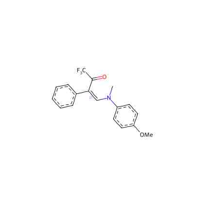 COc1ccc(N(C)/C=C(\C(=O)C(F)(F)F)c2ccccc2)cc1